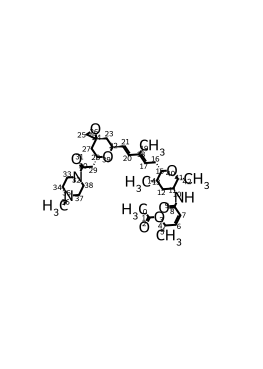 CC(=O)O[C@@H](C)/C=C\C(=O)N[C@@H]1C[C@H](C)[C@H](C/C=C(C)/C=C/[C@@H]2C[C@]3(CO3)C[C@@H](CC(=O)N3CCN(C)CC3)O2)O[C@@H]1C